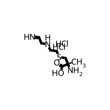 C[C@](N)(CSCCNCC=N)C(=O)O.Cl.Cl